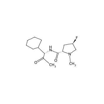 CC(=O)[C@@H](NC(=O)[C@@H]1C[C@@H](F)CN1C)C1CCCCC1